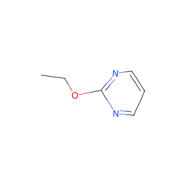 CCOc1ncccn1